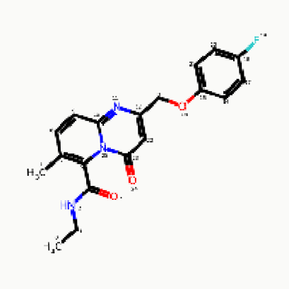 CCNC(=O)c1c(C)ccc2nc(COc3ccc(F)cc3)cc(=O)n12